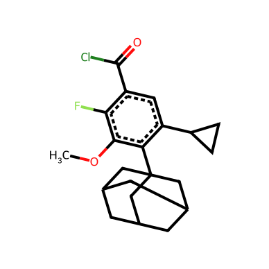 COc1c(F)c(C(=O)Cl)cc(C2CC2)c1C12CC3CC(CC(C3)C1)C2